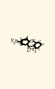 CC(c1cccc(N)c1)c1ccccc1Cl